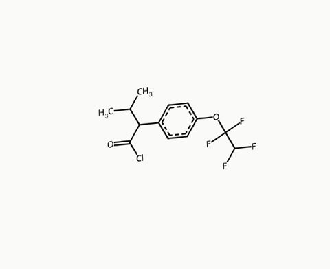 CC(C)C(C(=O)Cl)c1ccc(OC(F)(F)C(F)F)cc1